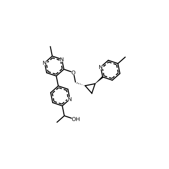 Cc1ccc([C@H]2C[C@@H]2COc2nc(C)ncc2-c2ccc(C(C)O)nc2)nc1